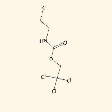 O=C(NCC[S])OCC(Cl)(Cl)Cl